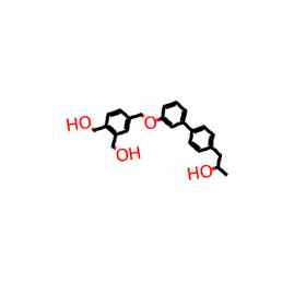 CC(O)Cc1ccc(-c2cccc(OCc3ccc(CO)c(CO)c3)c2)cc1